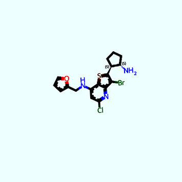 N[C@H]1CCC[C@@H]1c1sc2c(NCc3ccco3)cc(Cl)nc2c1Br